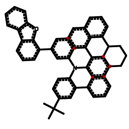 CC(C)(C)c1ccc(N(c2cccc(-c3cccc4c3oc3ccccc34)c2)c2ccccc2-c2cccc3cccc(C4CCCCC4)c23)c(-c2ccccc2)c1